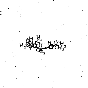 C=Cc1cc(C(C)NC(=O)C#Cc2ccc(C(C)(C)C)cc2)cc(F)c1NS(C)(=O)=O